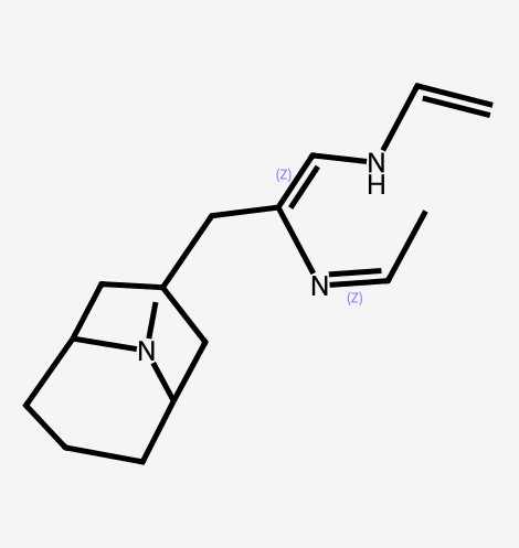 C=CN/C=C(CC1CC2CCCC(C1)N2C)\N=C/C